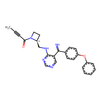 CC#CC(=O)N1CC[C@H]1CNc1ncncc1C(=N)c1ccc(Oc2ccccc2)cc1